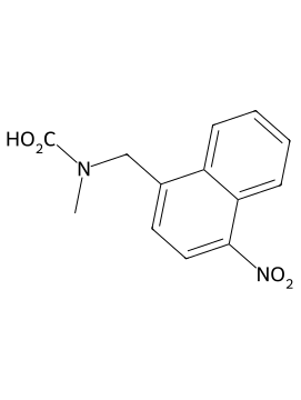 CN(Cc1ccc([N+](=O)[O-])c2ccccc12)C(=O)O